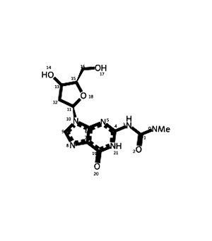 CNC(=O)Nc1nc2c(ncn2[C@H]2CC(O)[C@@H](CO)O2)c(=O)[nH]1